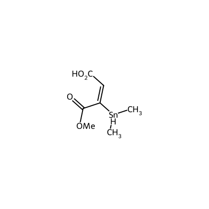 COC(=O)/[C](=C\C(=O)O)[SnH]([CH3])[CH3]